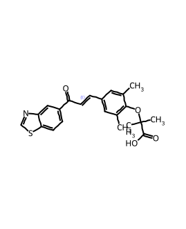 Cc1cc(/C=C/C(=O)c2ccc3scnc3c2)cc(C)c1OC(C)(C)C(=O)O